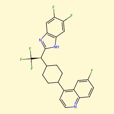 Fc1ccc2nccc(C3CCC([C@H](c4nc5cc(F)c(F)cc5[nH]4)C(F)(F)F)CC3)c2c1